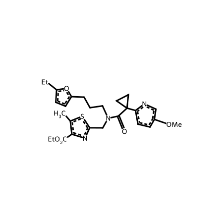 CCOC(=O)c1nc(CN(CCCc2ccc(CC)o2)C(=O)C2(c3ccc(OC)cn3)CC2)sc1C